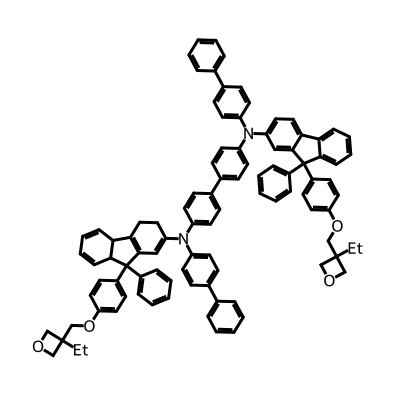 CCC1(COc2ccc(C3(c4ccccc4)c4ccccc4-c4ccc(N(c5ccc(-c6ccccc6)cc5)c5ccc(-c6ccc(N(C7=CC8=C(CC7)C7C=CC=CC7C8(c7ccccc7)c7ccc(OCC8(CC)COC8)cc7)c7ccc(-c8ccccc8)cc7)cc6)cc5)cc43)cc2)COC1